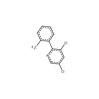 FC(F)(F)c1[c]cccc1-c1ncc(Cl)cc1Cl